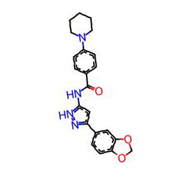 O=C(Nc1cc(-c2ccc3c(c2)OCO3)n[nH]1)c1ccc(N2CCCCC2)cc1